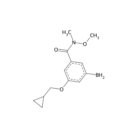 Bc1cc(OCC2CC2)cc(C(=O)N(C)OC)c1